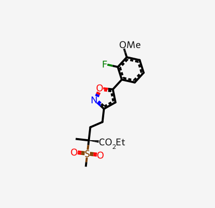 CCOC(=O)[C@@](C)(CCc1cc(-c2cccc(OC)c2F)on1)S(C)(=O)=O